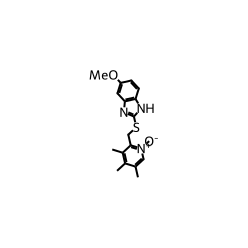 COc1ccc2[nH]c(SCc3c(C)c(C)c(C)c[n+]3[O-])nc2c1